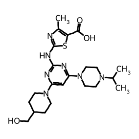 Cc1nc(Nc2nc(N3CCC(CO)CC3)cc(N3CCN(C(C)C)CC3)n2)sc1C(=O)O